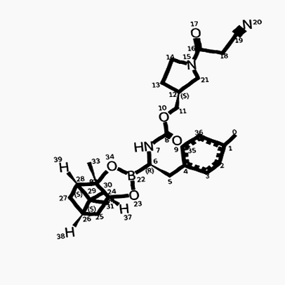 Cc1ccc(C[C@H](NC(=O)OC[C@H]2CCN(C(=O)CC#N)C2)B2O[C@@H]3C[C@@H]4C[C@@H](C4(C)C)[C@]3(C)O2)cc1